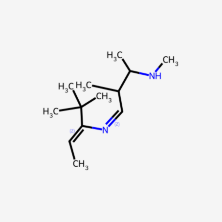 C/C=C(\N=C/C(C)C(C)NC)C(C)(C)C